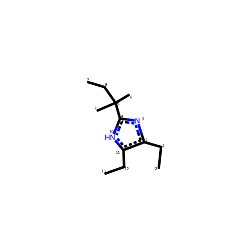 CCc1nc(C(C)(C)CC)[nH]c1CC